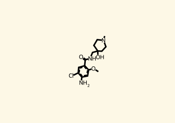 COc1cc(N)c(Cl)cc1C(=O)NCC1(O)CCN(C)CC1